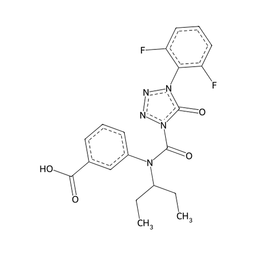 CCC(CC)N(C(=O)n1nnn(-c2c(F)cccc2F)c1=O)c1cccc(C(=O)O)c1